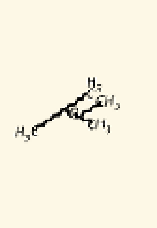 CCCCCCCCC(CCCCCC)COCC(CCC)CCCCC